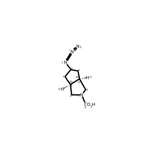 [N-]=[N+]=NC1C[C@@H]2CN(C(=O)O)C[C@@H]2C1